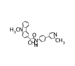 Cc1cc(-c2ccc(NC(=O)C(C)c3ccc4c(c3)c3ccccc3n4C)cc2)ccn1